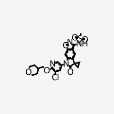 CS(=O)(=O)Nc1noc2cc3c(cc12)C1(CC1)C(=O)N3c1cnc(OCC2CCOCC2)c(Cl)c1